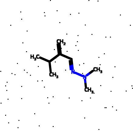 C=C(C=NN(C)C)C(C)C